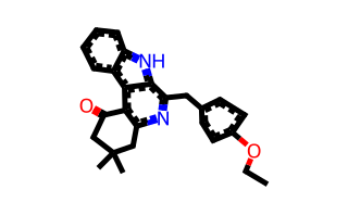 CCOc1ccc(Cc2nc3c(c4c2[nH]c2ccccc24)C(=O)CC(C)(C)C3)cc1